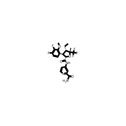 CC[C@H]1[C@H](c2ccc(F)c(F)c2OC)[C@@H](C(=O)Nc2ccnc(C(N)=O)c2)O[C@@]1(C)C(F)(F)F